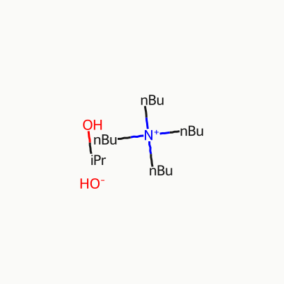 CC(C)O.CCCC[N+](CCCC)(CCCC)CCCC.[OH-]